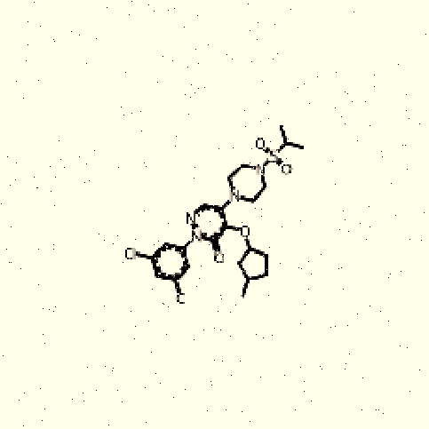 CC1CCC(Oc2c(N3CCN(S(=O)(=O)C(C)C)CC3)cnn(-c3cc(Cl)cc(Cl)c3)c2=O)C1